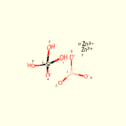 [O-]B([O-])[O-].[O-][Si](O)(O)O.[Zn+2].[Zn+2]